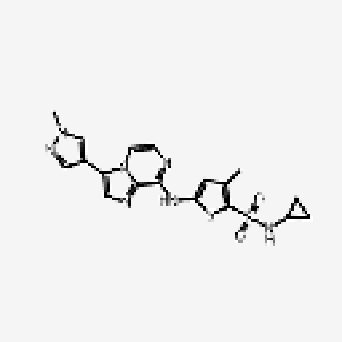 Cc1cc(Nc2nccn3c(-c4cnn(C)c4)cnc23)sc1S(=O)(=O)NC1CC1